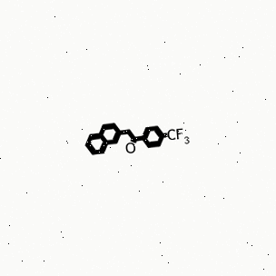 O=C(Cc1ccc2ccccc2c1)c1ccc(C(F)(F)F)cc1